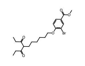 CCC(=O)C(CCCCCCOc1ccc(C(=O)OC)cc1Br)C(=O)CC